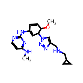 CNc1ccnc(NC2=CC(n3cc(CNCC4CC4)nn3)C(OC)C=C2)n1